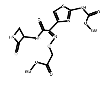 CC(C)(C)OC(=O)CON=C(C(=O)NC1CNC1=O)c1csc(NC(=O)OC(C)(C)C)n1